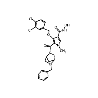 Cn1cc(C(=O)NO)c(OCc2ccc(Cl)c(Cl)c2)c1C(=O)N1CC2CC1CN2Cc1ccccc1